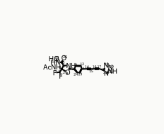 CC(=O)NC(C)(C(F)F)C(NC(=O)c1ccc(C#CC#Cc2nn[nH]n2)cc1)C(=O)NO